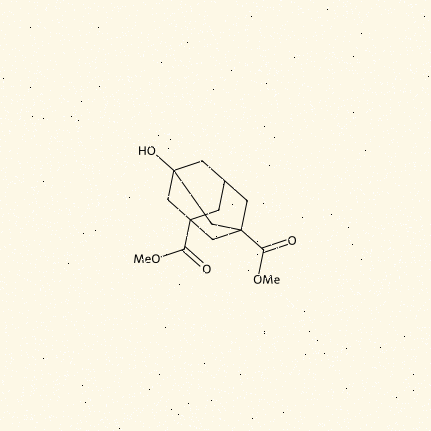 COC(=O)C12CC3CC(O)(C1)CC(C(=O)OC)(C3)C2